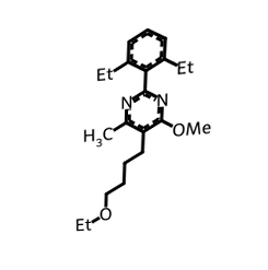 CCOCCCCc1c(C)nc(-c2c(CC)cccc2CC)nc1OC